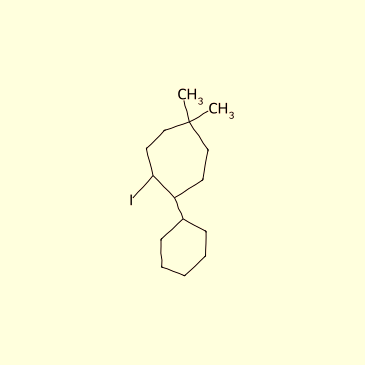 CC1(C)CCC(I)C(C2CCCCC2)CC1